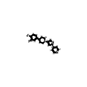 Fc1ccc(C2CCN(c3cnn(-c4ccncc4)c3)CC2)cc1F